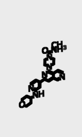 CNC(=O)N1CCN(c2nc(-c3ccnc(NC4CCOCC4)c3)cc3cnccc23)CC1